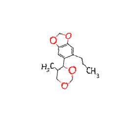 CCCc1cc2c(cc1C1OCOCC1C)OCO2